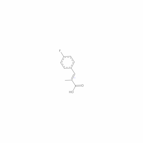 C/C(=C\c1ccc(F)cc1)C(=O)O